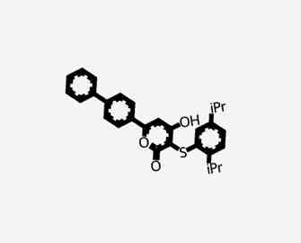 CC(C)c1ccc(C(C)C)c(Sc2c(O)cc(-c3ccc(-c4ccccc4)cc3)oc2=O)c1